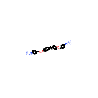 CC(C)(c1ccc(OCc2ccc(N)cc2)cc1)c1ccc(OCc2ccc(N)cc2)cc1